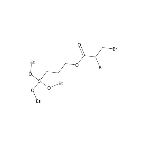 CCO[Si](CCCOC(=O)C(Br)CBr)(OCC)OCC